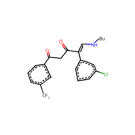 CCC(C)NC=C(C(=O)CC(=O)c1cccc(C(F)(F)F)c1)c1cccc(Cl)c1